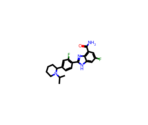 CC(C)N1CCCCC1c1ccc(-c2nc3c(C(N)=O)cc(F)cc3[nH]2)c(F)c1